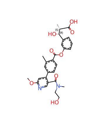 COc1cc(-c2ccc(C(=O)Oc3cccc([C@H](O)[C@H](C)C(=O)O)c3)c(C)c2)c(C(=O)N(C)CCO)cn1